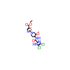 CCOC(=O)c1cnc(N2CC[C@@H](NC(=O)c3nc(Cl)c(Cl)[nH]3)[C@@H](OC)C2)s1